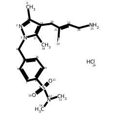 Cc1nn(Cc2ccc(S(=O)(=O)N(C)C)cc2)c(C)c1CC(F)=CCN.Cl